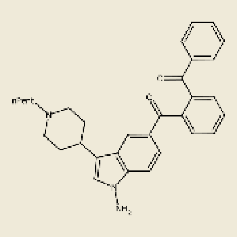 CCCCCN1CCC(c2cn(N)c3ccc(C(=O)c4ccccc4C(=O)c4ccccc4)cc23)CC1